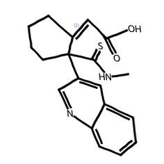 CNC(=S)C1(c2cnc3ccccc3c2)CCCC/C1=C/C(=O)O